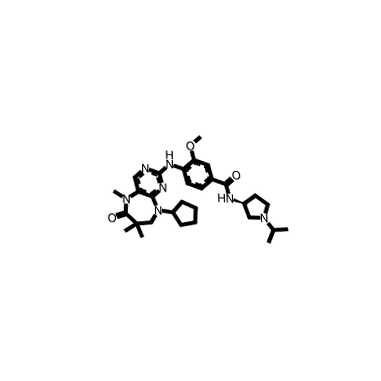 COc1cc(C(=O)N[C@H]2CCN(C(C)C)C2)ccc1Nc1ncc2c(n1)N(C1CCCC1)CC(C)(C)C(=O)N2C